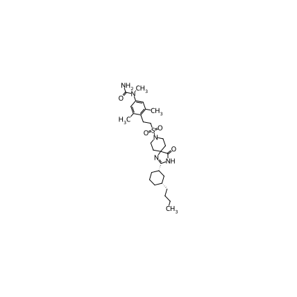 CCCC[C@@H]1CCC[C@H](C2=NC3(CCN(S(=O)(=O)CCc4c(C)cc(N(C)C(N)=O)cc4C)CC3)C(=O)N2)C1